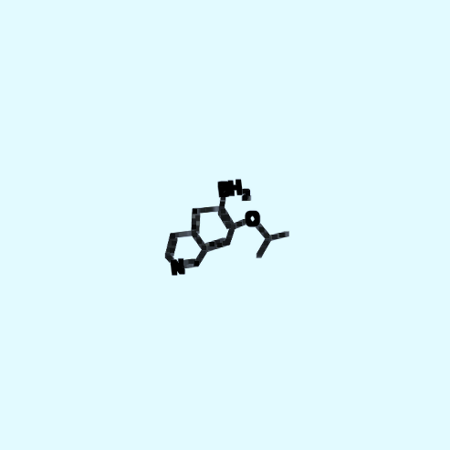 Bc1cc2ccncc2cc1OC(C)C